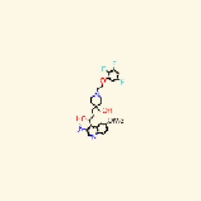 COc1ccc2ncc(N(C)C)c([C@H](O)CCC3(CO)CCN(CCOc4cc(F)cc(F)c4F)CC3)c2c1